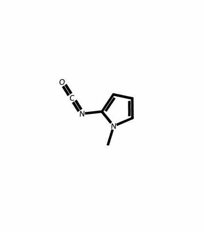 Cn1cccc1N=C=O